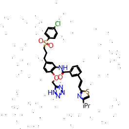 CC(C)c1csc(C=Cc2cccc(C(=O)Nc3cc(CCCS(=O)(=O)c4ccc(Cl)cc4)ccc3OCc3nnn[nH]3)c2)n1